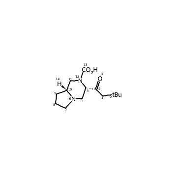 CC(C)(C)CC(=O)[C@@H]1CN2CCC[C@@H]2CN1C(=O)O